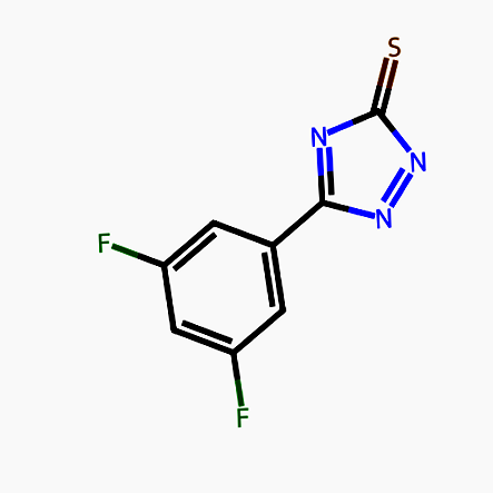 Fc1cc(F)cc(C2=NC(=S)N=N2)c1